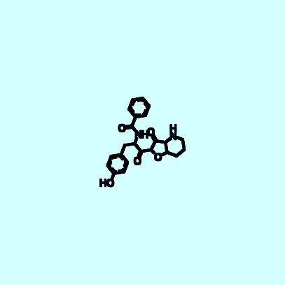 O=C(NC(Cc1ccc(O)cc1)C(=O)C1OC2CCCNC2C1=O)c1ccccc1